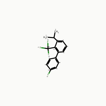 CC(C)c1cc[c]c(-c2ccc(F)cc2)c1C(F)(F)F